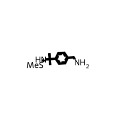 CSNC(C)(C)c1ccc(CN)cc1